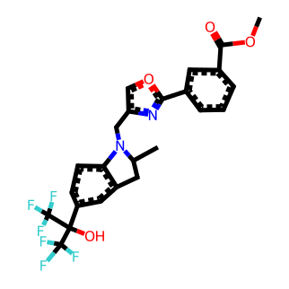 COC(=O)c1cccc(-c2nc(CN3c4ccc(C(O)(C(F)(F)F)C(F)(F)F)cc4CC3C)co2)c1